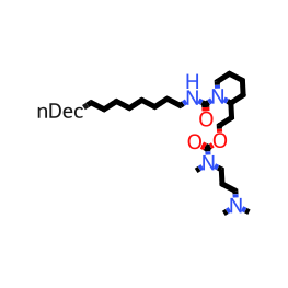 CCCCCCCCCCCCCCCCCCNC(=O)N1CCCCC1CCOC(=O)N(C)CCCN(C)C